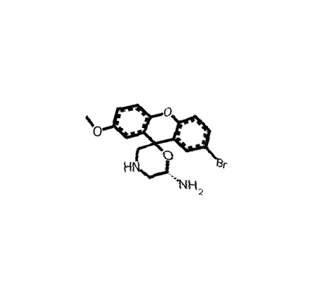 COc1ccc2c(c1)C1(CNC[C@@H](N)O1)c1cc(Br)ccc1O2